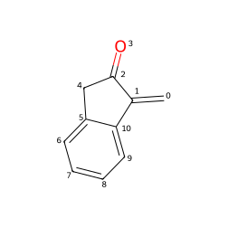 C=C1C(=O)Cc2ccccc21